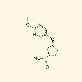 COc1ncc(O[C@H]2CCN(C(=O)O)C2)cn1